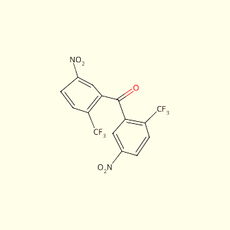 O=C(c1cc([N+](=O)[O-])ccc1C(F)(F)F)c1cc([N+](=O)[O-])ccc1C(F)(F)F